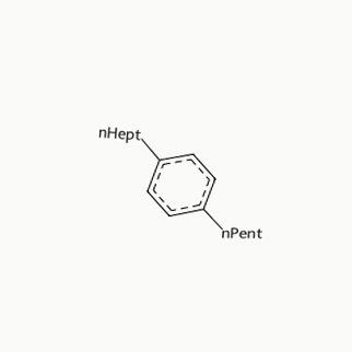 [CH2]CCCCc1ccc(CCCCCCC)cc1